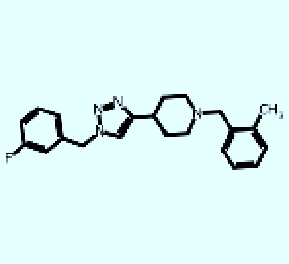 Cc1ccccc1CN1CCC(c2cn(Cc3cccc(F)c3)nn2)CC1